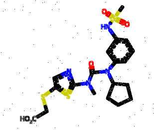 CN(C(=O)N(c1cccc(NS(C)(=O)=O)c1)C1CCCC1)c1ncc(SCC(=O)O)s1